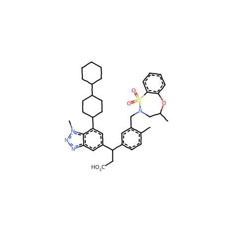 Cc1ccc(C(CC(=O)O)c2cc(C3CCC(C4CCCCC4)CC3)c3c(c2)nnn3C)cc1CN1CC(C)Oc2ccccc2S1(=O)=O